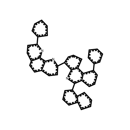 c1ccc(-c2ccc3ccc4ccc(-c5cccc6c5nc(-c5cccc7ccccc57)c5cccc(-c7ccccc7)c56)nc4c3n2)cc1